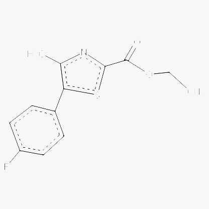 CCOC(=O)c1nc(C)c(-c2ccc(F)cc2)s1